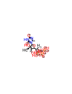 C#CC1(O)C(CO)[C@@H]([C@H](C)OP(=O)(O)OP(=O)(O)OP(=O)(O)O)O[C@H]1n1cnc(=O)[nH]c1=O